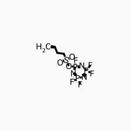 C=CCCS(=O)(=O)OP1(F)=NP(F)(F)=NP(F)(F)=N1